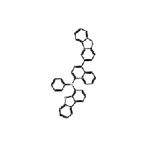 c1ccc(N(c2ccc(-c3ccc4oc5ccccc5c4c3)c3ccccc23)c2cccc3c2oc2ccccc23)cc1